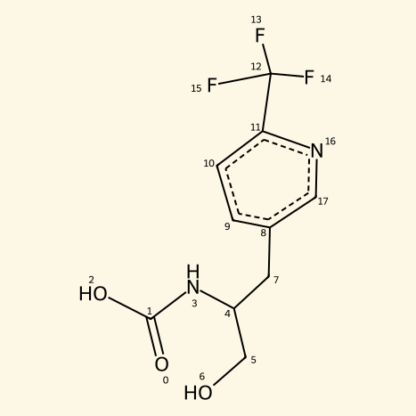 O=C(O)NC(CO)Cc1ccc(C(F)(F)F)nc1